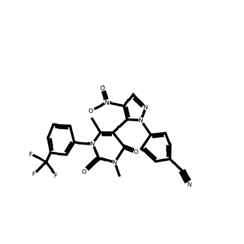 Cc1c(-c2c([N+](=O)[O-])cnn2-c2ccc(C#N)cc2)c(=O)n(C)c(=O)n1-c1cccc(C(F)(F)F)c1